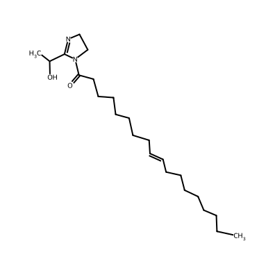 CCCCCCCCC=CCCCCCCCC(=O)N1CCN=C1C(C)O